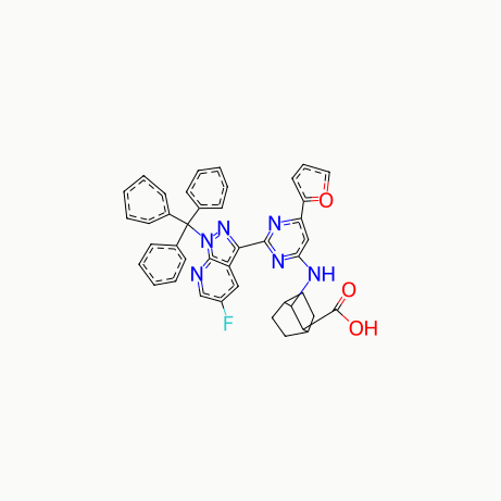 O=C(O)C1C2CCC(CC2)C1Nc1cc(-c2ccco2)nc(-c2nn(C(c3ccccc3)(c3ccccc3)c3ccccc3)c3ncc(F)cc23)n1